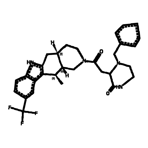 C[C@H]1c2c([nH]c3ccc(C(F)(F)F)cc23)C[C@H]2CCN(C(=O)CC3C(=O)NCCN3Cc3ccccc3)C[C@@H]21